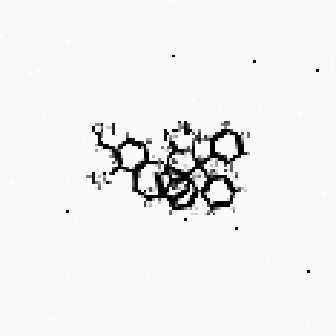 Cc1c(CO)ccc2c1CCc1ccccc1N2c1nnnn1C(c1ccccc1)(c1ccccc1)c1ccccc1